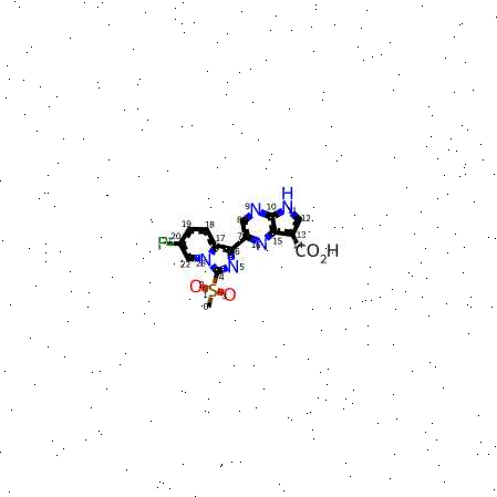 CS(=O)(=O)c1nc(-c2cnc3[nH]cc(C(=O)O)c3n2)c2ccc(F)cn12